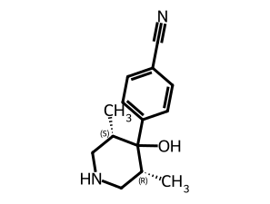 C[C@@H]1CNC[C@H](C)C1(O)c1ccc(C#N)cc1